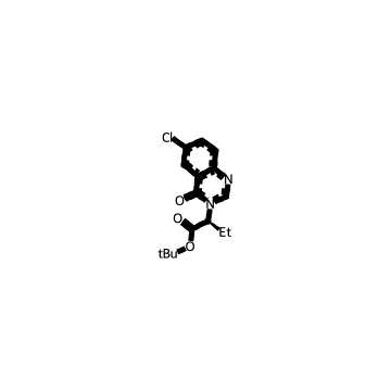 CC[C@@H](C(=O)OC(C)(C)C)n1cnc2ccc(Cl)cc2c1=O